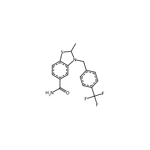 CC1Sc2ccc(C(N)=O)cc2N1Cc1ccc(C(F)(F)F)cc1